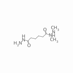 CNN(C)C(=O)CCCCC(=O)NN